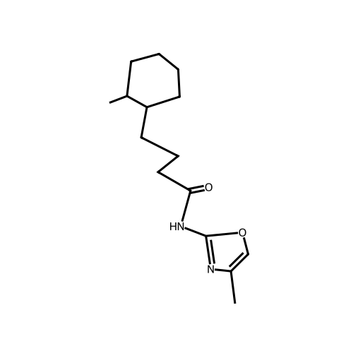 Cc1coc(NC(=O)CCCC2CCCCC2C)n1